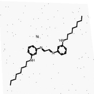 CCCCCCCCNc1cccc(N=CC=Nc2cccc(NCCCCCCCC)c2)c1.[Ni]